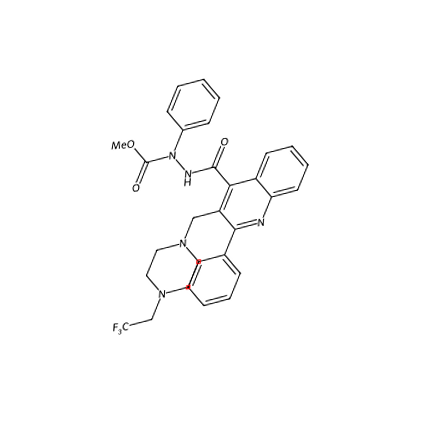 COC(=O)N(NC(=O)c1c(CN2CCN(CC(F)(F)F)CC2)c(-c2ccccc2)nc2ccccc12)c1ccccc1